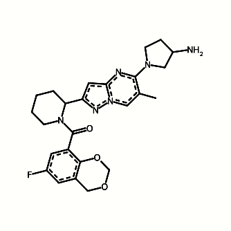 Cc1cn2nc(C3CCCCN3C(=O)c3cc(F)cc4c3OCOC4)cc2nc1N1CCC(N)C1